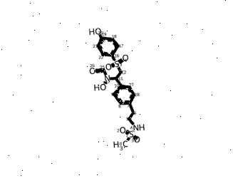 CS(=O)(=O)NCCc1ccc(C(CS(=O)(=O)c2ccc(O)cc2)N(O)C=O)cc1